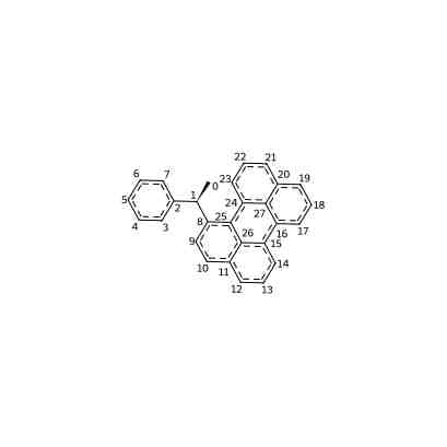 C[C@H](c1ccccc1)c1ccc2cccc3c4cccc5cccc(c1c23)c54